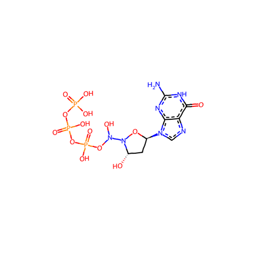 Nc1nc2c(ncn2[C@H]2C[C@H](O)N(N(O)OP(=O)(O)OP(=O)(O)OP(=O)(O)O)O2)c(=O)[nH]1